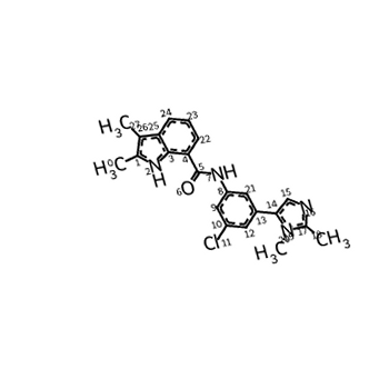 Cc1[nH]c2c(C(=O)Nc3cc(Cl)cc(-c4cnc(C)n4C)c3)cccc2c1C